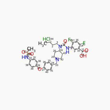 CCCCN(C(=O)Nc1cc(C(=O)O)c(F)cc1F)C1CCN(Cc2ccc(Oc3ccc(NS(C)(=O)=O)cc3)cc2)CC1.Cl